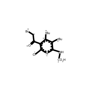 CC(C)(C)c1c(NC(=O)O)nc(Cl)c(C(=O)CBr)c1C(C)(C)C